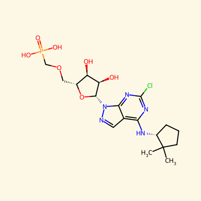 CC1(C)CCC[C@H]1Nc1nc(Cl)nc2c1cnn2[C@@H]1O[C@H](COCP(=O)(O)O)[C@@H](O)[C@H]1O